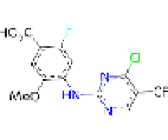 COc1cc(C(=O)O)c(F)cc1Nc1ncc(C(F)(F)F)c(Cl)n1